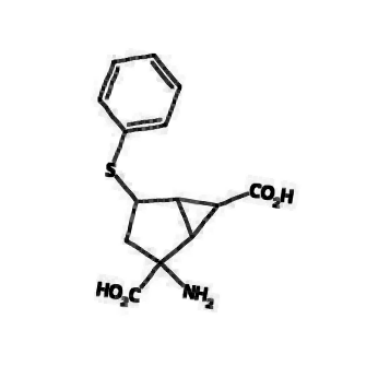 NC1(C(=O)O)CC(Sc2ccccc2)C2C(C(=O)O)C21